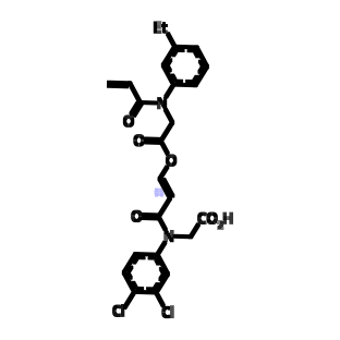 C=CC(=O)N(CC(=O)O/C=C/C(=O)N(CC(=O)O)c1ccc(Cl)c(Cl)c1)c1cccc(CC)c1